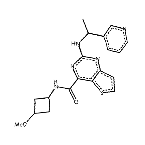 COC1CC(NC(=O)c2nc(NC(C)c3cccnc3)nc3ccsc23)C1